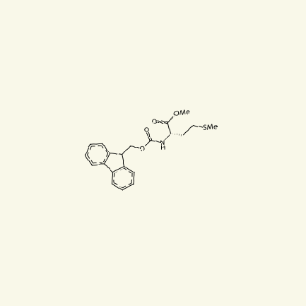 COC(=O)[C@H](CCSC)NC(=O)OCC1c2ccccc2-c2ccccc21